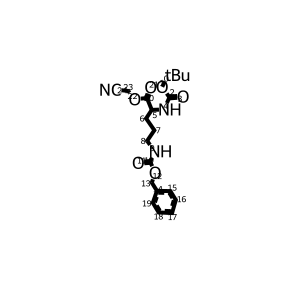 CC(C)(C)OC(=O)NC(CCCNC(=O)OCc1ccccc1)C(=O)OCC#N